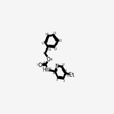 CCc1ccc(NC(=O)OCc2ccccc2)nc1